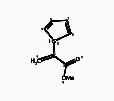 C=C(C(=O)OC)[SH]1C=CC=C1